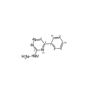 NNc1nncc(-c2ccccc2)n1